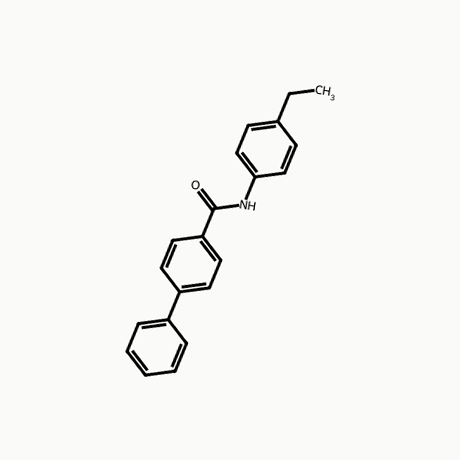 CCc1ccc(NC(=O)c2ccc(-c3ccccc3)cc2)cc1